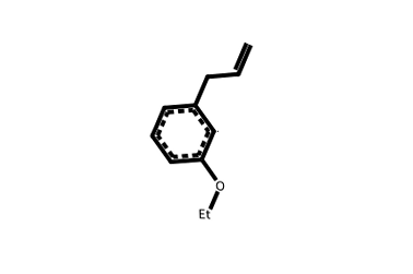 C=CCc1[c]c(OCC)ccc1